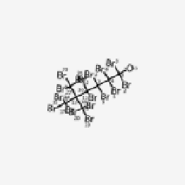 [O]C(Br)(Br)C(Br)(Br)C(Br)(Br)C(Br)(Br)C(C(Br)(Br)Br)(C(Br)(Br)Br)C(Br)(Br)Br